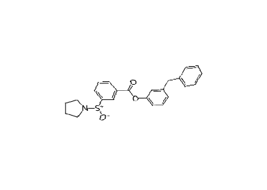 O=C(Oc1cccc(Cc2ccccc2)c1)c1cccc([S+]([O-])N2CCCC2)c1